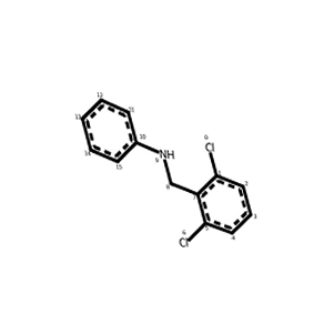 Clc1cccc(Cl)c1CNc1ccccc1